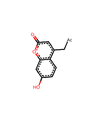 CC(=O)Cc1cc(=O)oc2cc(O)ccc12